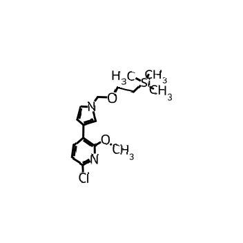 COc1nc(Cl)ccc1-c1ccn(COCC[Si](C)(C)C)c1